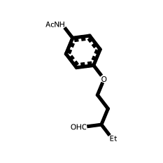 CCC(C=O)CCOc1ccc(NC(C)=O)cc1